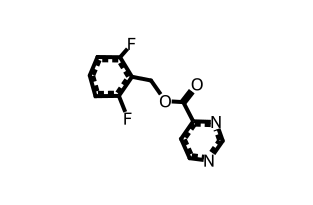 O=C(OCc1c(F)cccc1F)c1ccncn1